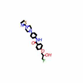 O=C(Nc1ccc(N2CCN(c3nccs3)CC2)cc1)c1ccc(OC[C@@H](O)CF)cc1